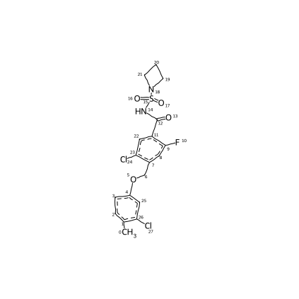 Cc1ccc(OCc2cc(F)c(C(=O)NS(=O)(=O)N3CCC3)cc2Cl)cc1Cl